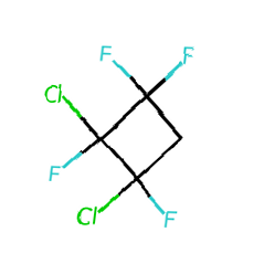 FC1(F)CC(F)(Cl)C1(F)Cl